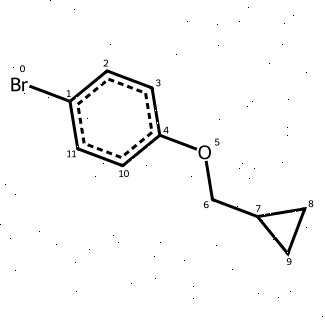 Brc1ccc(OCC2CC2)cc1